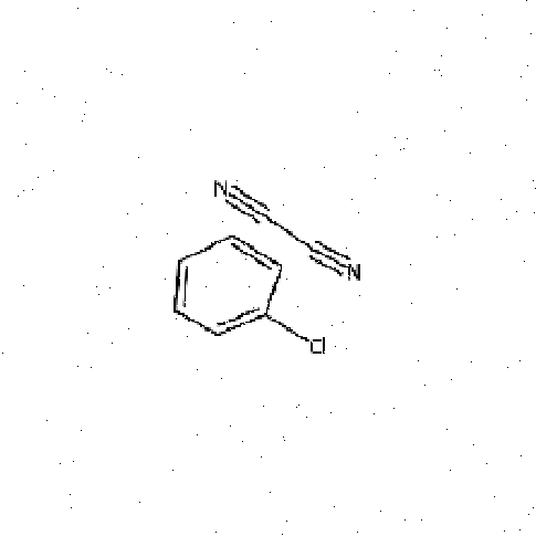 Clc1ccccc1.N#CC#N